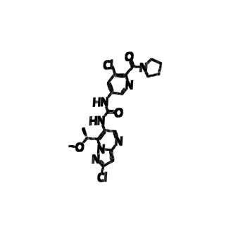 CO[C@@H](C)c1c(NC(=O)Nc2cnc(C(=O)N3CCCC3)c(Cl)c2)cnc2cc(Cl)nn12